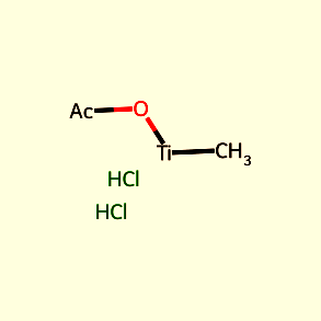 Cl.Cl.[CH3][Ti][O]C(C)=O